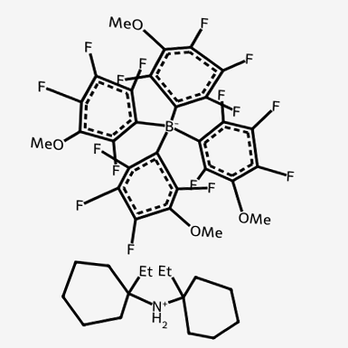 CCC1([NH2+]C2(CC)CCCCC2)CCCCC1.COc1c(F)c(F)c(F)c([B-](c2c(F)c(F)c(F)c(OC)c2F)(c2c(F)c(F)c(F)c(OC)c2F)c2c(F)c(F)c(F)c(OC)c2F)c1F